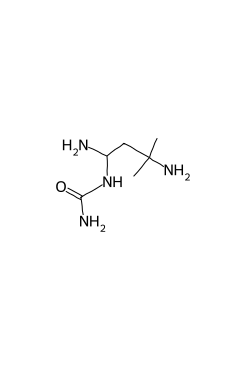 CC(C)(N)CC(N)NC(N)=O